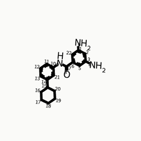 Nc1cc(N)cc(C(=O)Nc2cccc(C3CCCCC3)c2)c1